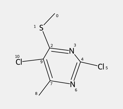 CSc1nc(Cl)nc(C)c1Cl